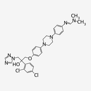 CN(C)C=Nc1ccc(N2CCN(c3ccc(OCC(O)(Cn4cncn4)c4ccc(Cl)cc4Cl)cc3)CC2)cc1